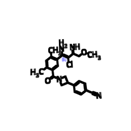 COCC(=N)/C(Cl)=C(\N)c1cc(C(=O)N2CC(c3ccc(C#N)cc3)C2)c(C)cc1C